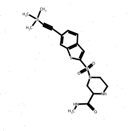 CNC(=O)C1CN(S(=O)(=O)c2cc3ccc(C#C[Si](C)(C)C)cc3s2)CCN1